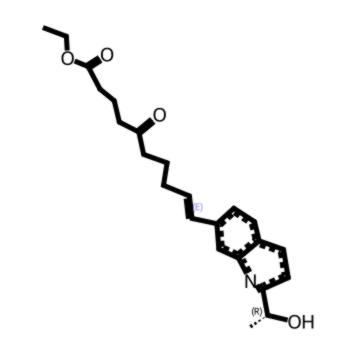 CCOC(=O)CCCC(=O)CCC/C=C/c1ccc2ccc([C@@H](C)O)nc2c1